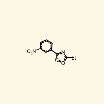 CCc1nc(-c2cccc([N+](=O)[O-])c2)no1